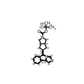 CC(C)(C)OC(=O)N1CC2CC(=c3c4ccccc4c4cncn34)CC2C1